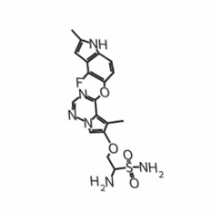 Cc1cc2c(F)c(Oc3ncnn4cc(OCC(N)S(N)(=O)=O)c(C)c34)ccc2[nH]1